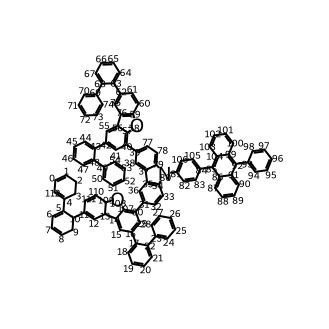 C1=CCCC(C2=CC=CCC2C2=CC3c4cc(-c5ccccc5-c5ccccc5)cc(-c5ccc6c(c5)c5cc(-c7cc(-c8ccccc8-c8ccccc8)cc8c7oc7ccc(-c9ccccc9-c9ccccc9)cc78)ccc5n6-c5ccc(-c6c7ccccc7c(-c7ccccc7)c7ccccc67)cc5)c4OC3C=C2)=C1